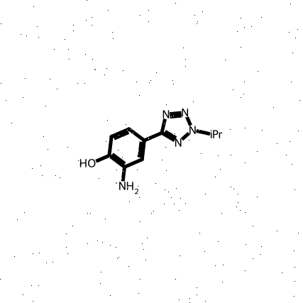 CC(C)n1nnc(-c2ccc(O)c(N)c2)n1